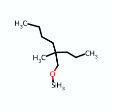 CCCCC(C)(CCC)CO[SiH3]